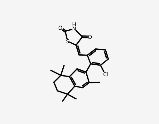 Cc1cc2c(cc1-c1c(Cl)cccc1C=C1SC(=O)NC1=O)C(C)(C)CCC2(C)C